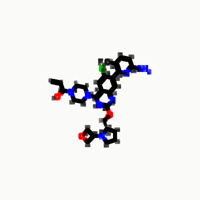 C=CC(=O)N1CCN(c2nc(OC[C@@H]3CCCN3C3COC3)nc3cc(-c4nc(N)ccc4C(F)(F)F)c(Cl)cc23)CC1